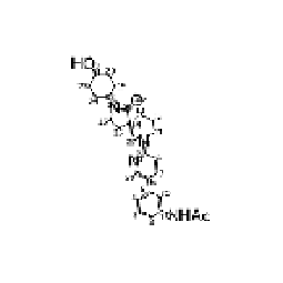 CC(=O)Nc1cccc(-c2ccc(N3CCC[C@@]4(CCN([C@H]5CC[C@H](O)CC5)C4=O)C3)nc2)c1